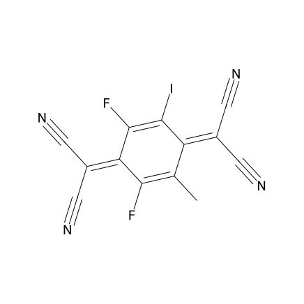 Cc1c(F)c(=C(C#N)C#N)c(F)c(I)c1=C(C#N)C#N